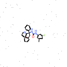 Cc1cc(F)cc(NC(=O)NC(Cc2ccccc2)(c2ccccc2)c2ccccn2)c1